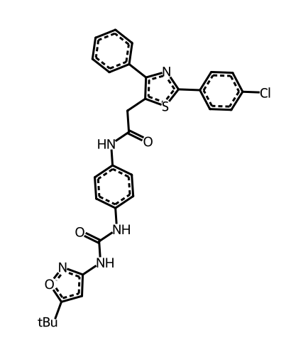 CC(C)(C)c1cc(NC(=O)Nc2ccc(NC(=O)Cc3sc(-c4ccc(Cl)cc4)nc3-c3ccccc3)cc2)no1